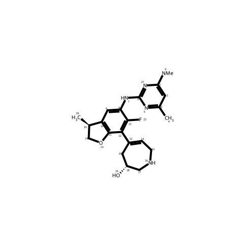 CNc1cc(C)nc(Nc2cc3c(c(C4=CCNC[C@H](O)C4)c2F)OC[C@H]3C)n1